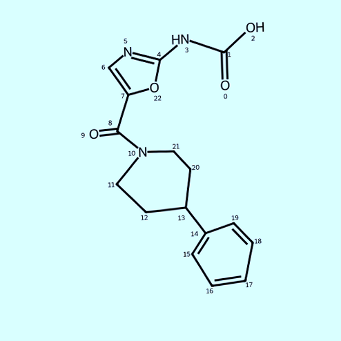 O=C(O)Nc1ncc(C(=O)N2CCC(c3ccccc3)CC2)o1